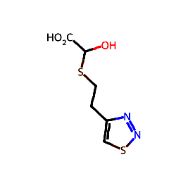 O=C(O)C(O)SCCc1csnn1